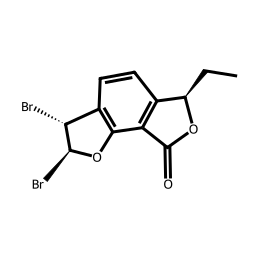 CC[C@H]1OC(=O)c2c1ccc1c2O[C@@H](Br)[C@@H]1Br